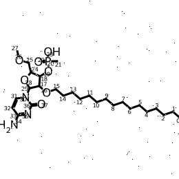 CCCCCCCCCCCCCCCCOC1C(OP(C)(=O)O)C(COC)OC1n1ccc(N)nc1=O